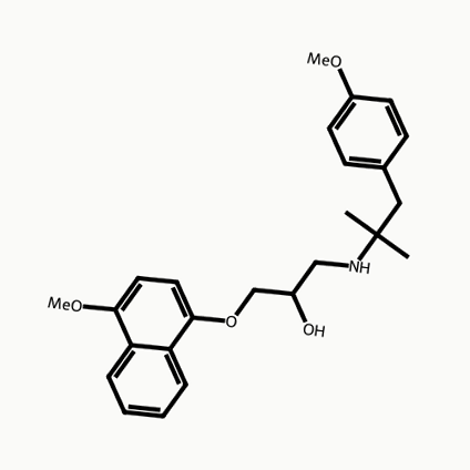 COc1ccc(CC(C)(C)NCC(O)COc2ccc(OC)c3ccccc23)cc1